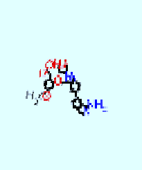 COc1ccc(CC(=O)O)c(OCc2c3cc(-c4ccc5ccnc(N)c5c4)ccc3nn2C2CCOC2)c1